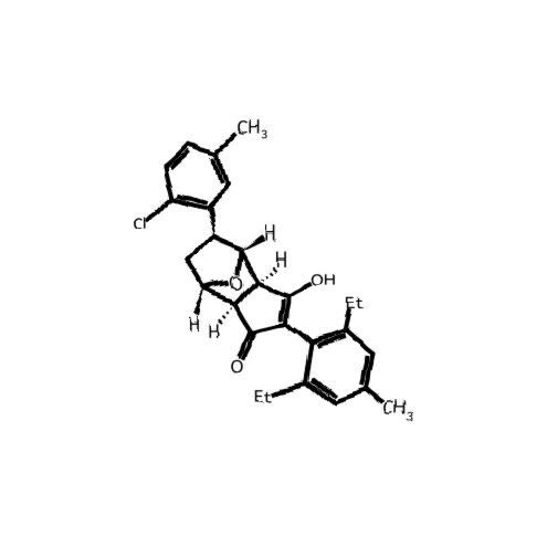 CCc1cc(C)cc(CC)c1C1=C(O)[C@@H]2[C@@H]3O[C@@H](C[C@H]3c3cc(C)ccc3Cl)[C@@H]2C1=O